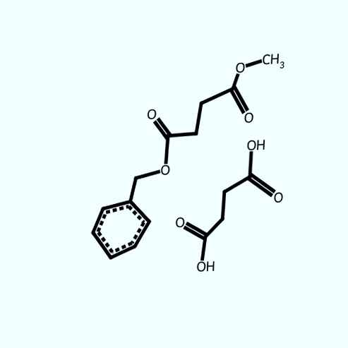 COC(=O)CCC(=O)OCc1ccccc1.O=C(O)CCC(=O)O